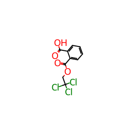 O=C(O)c1ccccc1C(=O)OCC(Cl)(Cl)Cl